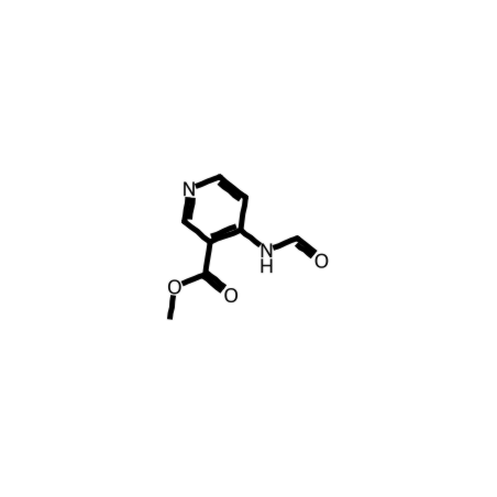 COC(=O)c1cnccc1NC=O